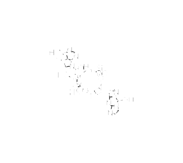 C=C[C@@H]1[C@@H]2O[P@](=O)(S)OC[C@H]3C[C@@H](n4cnc5c(O)n6ccnc6nc54)[C@@H]3CO[P@@](=O)(S)OC[C@H]2O[C@H]1n1cnc2c(N)ncnc21